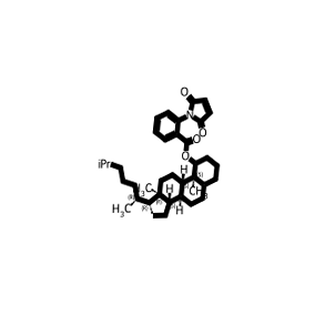 CC(C)CCC[C@@H](C)[C@H]1CC[C@H]2[C@@H]3CCC4CCCC(OC(=O)c5ccccc5N5C(=O)C=CC5=O)[C@]4(C)[C@H]3CC[C@]12C